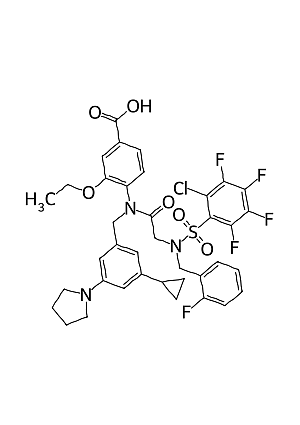 CCOc1cc(C(=O)O)ccc1N(Cc1cc(C2CC2)cc(N2CCCC2)c1)C(=O)CN(Cc1ccccc1F)S(=O)(=O)c1c(F)c(F)c(F)c(F)c1Cl